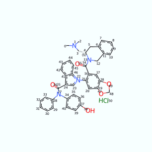 CN(C)C[C@@H]1Cc2ccccc2CN1C(=O)c1cc2c(cc1-n1cc(C(=O)N(c3ccccc3)c3ccc(O)cc3)c3ccccc31)OCO2.Cl